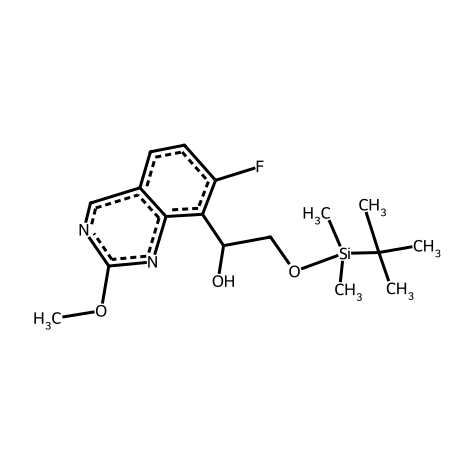 COc1ncc2ccc(F)c(C(O)CO[Si](C)(C)C(C)(C)C)c2n1